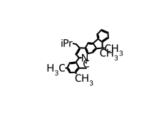 Cc1cc(C)c2c(c1)C1C=C(CC(C)C)c3cc4c(cc3N1CC2)C(C)(C)c1ccccc1-4